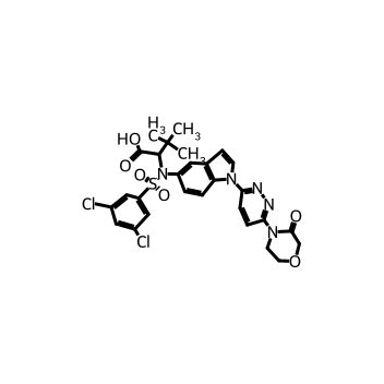 CC(C)(C)C(C(=O)O)N(c1ccc2c(ccn2-c2ccc(N3CCOCC3=O)nn2)c1)S(=O)(=O)c1cc(Cl)cc(Cl)c1